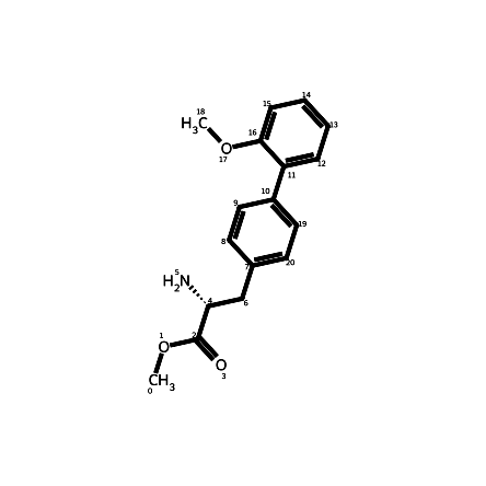 COC(=O)[C@H](N)Cc1ccc(-c2ccccc2OC)cc1